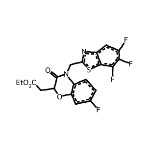 CCOC(=O)CC1Oc2cc(F)ccc2N(Cc2nc3cc(F)c(F)c(F)c3s2)C1=O